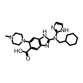 CN1CCN(c2cc3[nH]c(N(CC4CCCCC4)c4ncc[nH]4)nc3cc2C(=O)O)CC1